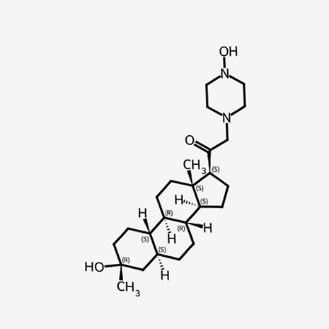 C[C@@]1(O)CC[C@H]2[C@@H](CC[C@@H]3[C@@H]2CC[C@]2(C)[C@@H](C(=O)CN4CCN(O)CC4)CC[C@@H]32)C1